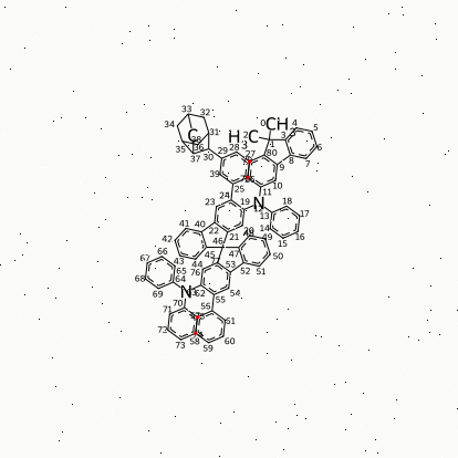 CC1(C)c2ccccc2-c2cc(N(c3ccccc3)c3cc4c(cc3-c3cccc(C5C6CC7CC(C6)C5C7)c3)-c3ccccc3C43c4ccccc4-c4cc(-c5ccccc5)c(N(c5ccccc5)c5ccccc5)cc43)ccc21